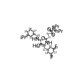 CCCN(CCC)S(=O)(=O)CCC(=O)N[C@@H](Cc1cc(F)cc(F)c1)[C@@H](O)CNCc1cccc(C(C)C)c1